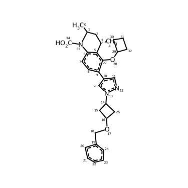 CC1C[C@H](C)c2c(ccc(-c3cnn(C4CC(OCc5ccccc5)C4)c3)c2OC2CCC2)N1C(=O)O